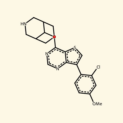 COc1ccc(-c2csc3c(OC4C5CNCC4COC5)ncnc23)c(Cl)c1